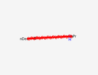 CCCCCCCCCCCCOC(=O)CCCCCOC(=O)CCCCCOC(=O)CCCCCOC(=O)CCCCCOC(=O)CCCCCOC(=O)CCCCCOC(=O)CCCCCOC(=O)CCCCCOC(=O)CCCCCOC(=O)CCCCCOC(=O)CCCCCOC(=O)CCCCCOC(=O)CCCCCOC(=O)CCCCCOC(=O)CCCCCOC(=O)NCCOC(=O)CCC